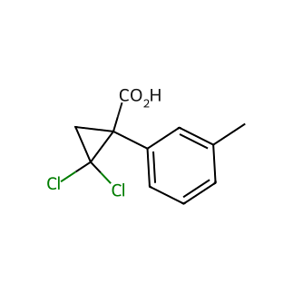 Cc1cccc(C2(C(=O)O)CC2(Cl)Cl)c1